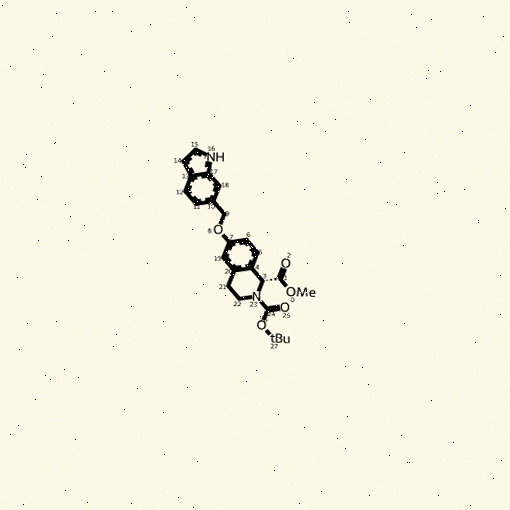 COC(=O)[C@H]1c2ccc(OCc3ccc4cc[nH]c4c3)cc2CCN1C(=O)OC(C)(C)C